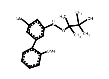 COc1ccccc1-c1cc(BOC(C)(C)C(C)(C)O)cc(C(C)(C)C)c1